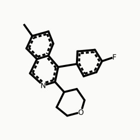 Cc1ccc2c(-c3ccc(F)cc3)c(C3CCOCC3)ncc2c1